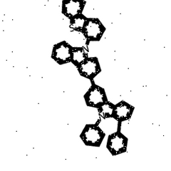 c1ccc(-c2cccc3c4cc(-c5ccc6c(c5)c5ccccc5n6-c5cccc6c5sc5ccccc56)ccc4n(-c4ccccc4)c23)cc1